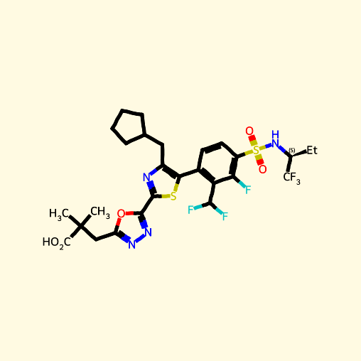 CC[C@H](NS(=O)(=O)c1ccc(-c2sc(-c3nnc(CC(C)(C)C(=O)O)o3)nc2CC2CCCC2)c(C(F)F)c1F)C(F)(F)F